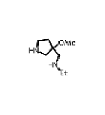 CCNCC1(OC)CCNC1